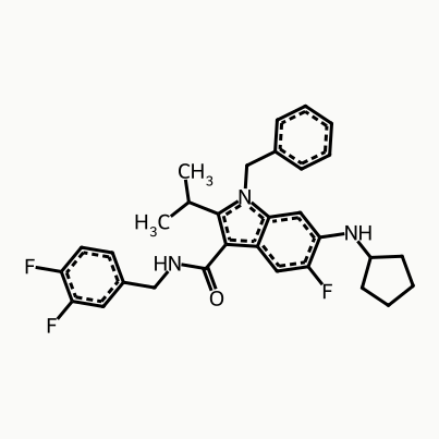 CC(C)c1c(C(=O)NCc2ccc(F)c(F)c2)c2cc(F)c(NC3CCCC3)cc2n1Cc1ccccc1